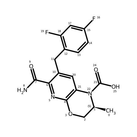 C[C@H]1COc2nc(C(N)=O)c(Cc3ccc(F)cc3F)cc2N1C(=O)O